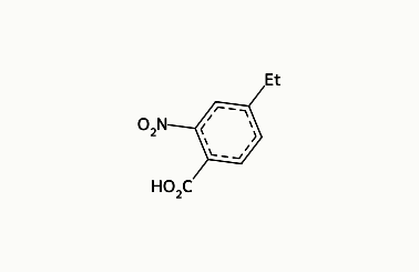 CCc1ccc(C(=O)O)c([N+](=O)[O-])c1